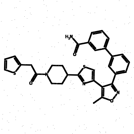 Cc1onc(-c2cccc(-c3cccc(C(N)=O)c3)c2)c1-c1csc(C2CCN(C(=O)Cc3cccs3)CC2)n1